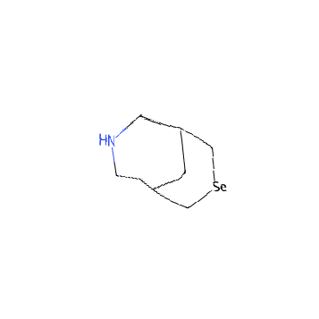 C1NCC2C[Se]CC1C2